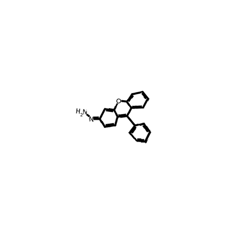 NN=c1ccc2c(-c3ccccc3)c3ccccc3oc-2c1